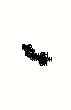 COCCOCCNC(=O)C(CCCCNC(=O)CN1CCN(CC(=O)O)CCN(CC(=O)O)CCN(CC(=O)O)CC1)NC(=O)CCc1cccc2c1CN(C(=O)C[C@@H]1C[C@@H](C(=O)N3CC(F)(F)C[C@H]3C)NC1=O)C2